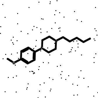 CCCCCN1CCN(c2ccc(OC)cc2)CC1